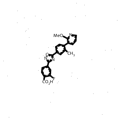 COc1ncccc1-c1ccc(-c2nc(-c3ccc(C(=O)O)c(F)c3)no2)cc1C